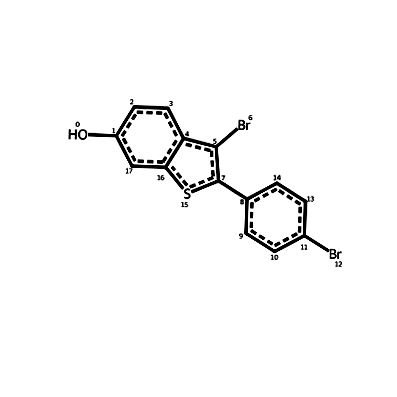 Oc1ccc2c(Br)c(-c3ccc(Br)cc3)sc2c1